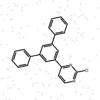 Clc1nccc(-c2cc(-c3ccccc3)cc(-c3ccccc3)c2)n1